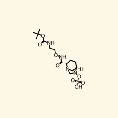 CC(C)(C)OC(=O)NCCONC(=O)[C@@H]1CC[C@@H]2CN1CN2OS(=O)(=O)O